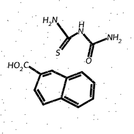 NC(=O)NC(N)=S.O=C(O)c1ccc2ccccc2c1